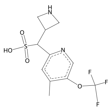 Cc1cc(C(C2CNC2)S(=O)(=O)O)ncc1OC(F)(F)F